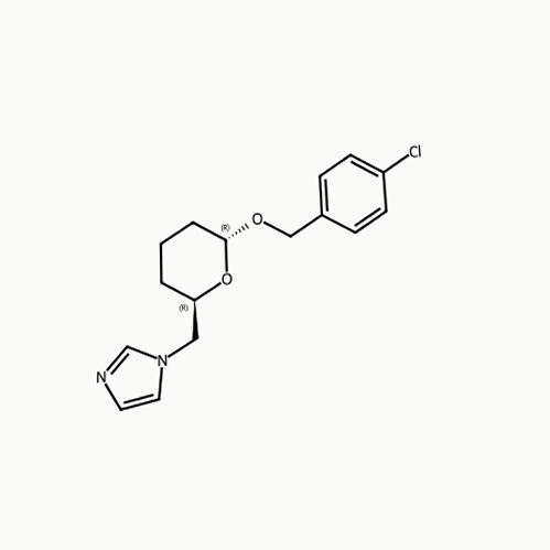 Clc1ccc(CO[C@H]2CCC[C@H](Cn3ccnc3)O2)cc1